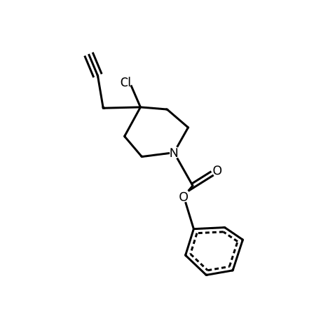 C#CCC1(Cl)CCN(C(=O)Oc2ccccc2)CC1